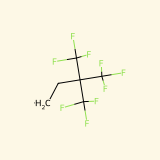 [CH2]CC(C(F)(F)F)(C(F)(F)F)C(F)(F)F